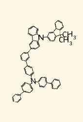 CC1(C)c2ccccc2-c2cc(-n3c4ccccc4c4cc(-c5cccc(-c6ccc(N(c7ccc(-c8ccccc8)cc7)c7ccc(-c8ccccc8)cc7)cc6)c5)ccc43)ccc21